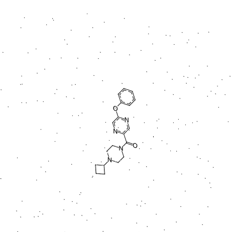 O=C(c1cnc(Oc2ccccc2)cn1)N1CCN(C2CCC2)CC1